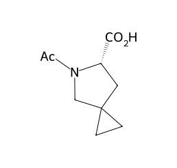 CC(=O)N1CC2(CC2)C[C@H]1C(=O)O